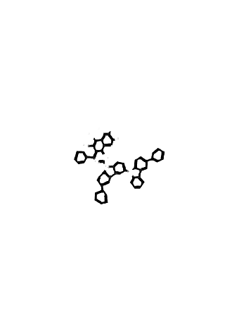 [2H]c1c([2H])c([2H])c2c(c1[2H])c([2H])c([2H])c1c(-c3ccccc3)nc(-n3c4ccc(-c5ccccc5)cc4c4cc(-n5c6ccccc6c6cc(-c7ccccc7)ccc65)ccc43)nc12